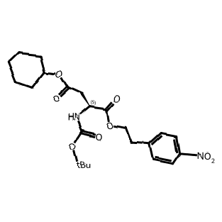 CC(C)(C)OC(=O)N[C@@H](CC(=O)OC1CCCCC1)C(=O)OCCc1ccc([N+](=O)[O-])cc1